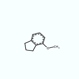 COc1cc[c]c2c1CCC2